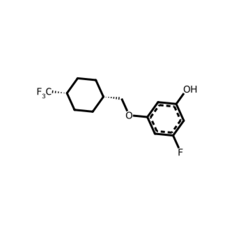 Oc1cc(F)cc(OC[C@H]2CC[C@@H](C(F)(F)F)CC2)c1